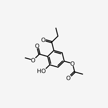 CCC(=O)c1cc(OC(C)=O)cc(O)c1C(=O)OC